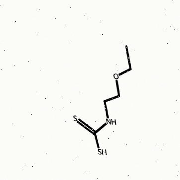 CCOCCNC(=S)S